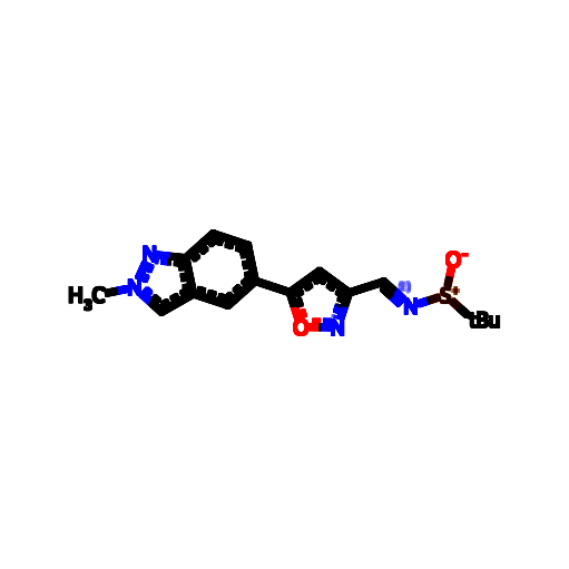 Cn1cc2cc(-c3cc(/C=N/[S+]([O-])C(C)(C)C)no3)ccc2n1